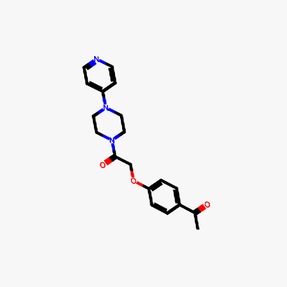 CC(=O)c1ccc(OCC(=O)N2CCN(c3ccncc3)CC2)cc1